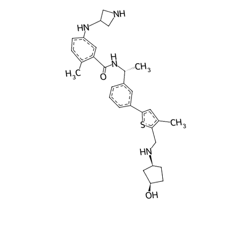 Cc1ccc(NC2CNC2)cc1C(=O)N[C@H](C)c1cccc(-c2cc(C)c(CN[C@H]3CC[C@@H](O)C3)s2)c1